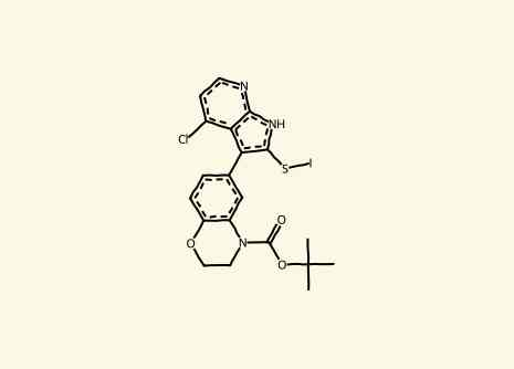 CC(C)(C)OC(=O)N1CCOc2ccc(-c3c(SI)[nH]c4nccc(Cl)c34)cc21